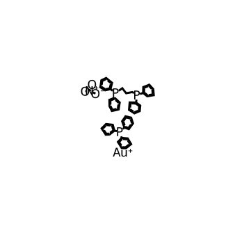 O=[N+]([O-])[O-].[Au+].c1ccc(P(CCCP(c2ccccc2)c2ccccc2)c2ccccc2)cc1.c1ccc(P(c2ccccc2)c2ccccc2)cc1